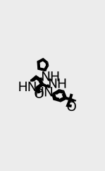 CC1(c2ccc(NC(=N)c3c(NC4CCCCC4)cc[nH]c3=O)cc2)COC1